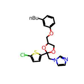 CCCCc1cccc(OCC2COC(Cn3ccnc3)(c3ccc(Cl)s3)O2)c1